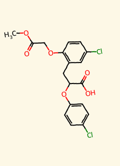 COC(=O)COc1ccc(Cl)cc1CC(Oc1ccc(Cl)cc1)C(=O)O